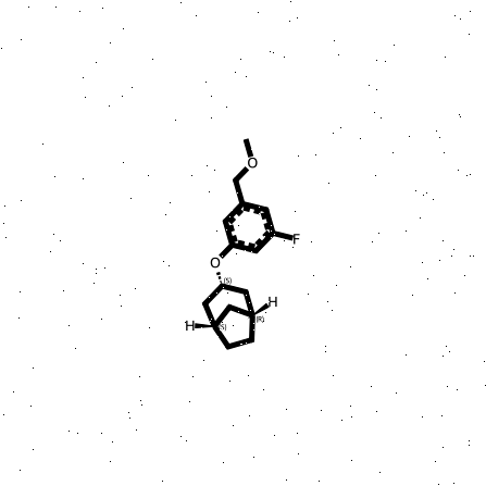 COCc1cc(F)cc(O[C@@H]2C[C@@H]3CC[C@@H](C3)C2)c1